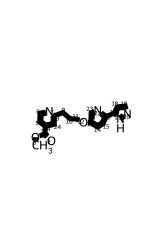 COC(=O)c1ccnc(CCCOc2ccc(-c3ccn[nH]3)nc2)c1